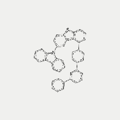 c1ccc(-c2cccc(-c3ccc(-c4cccc5sc6ccc(-n7c8ccccc8c8ccccc87)cc6c45)cc3)c2)cc1